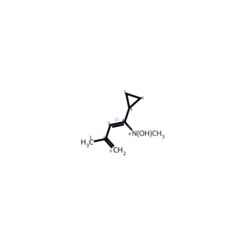 C=C(C)/C=C(/C1CC1)N(C)O